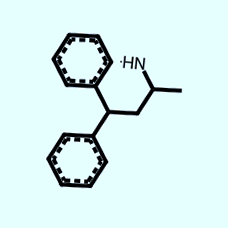 CC([NH])CC(c1ccccc1)c1ccccc1